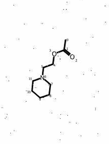 CC(=O)OCCN1[C]CCCC1